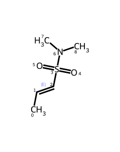 C/C=C/S(=O)(=O)N(C)C